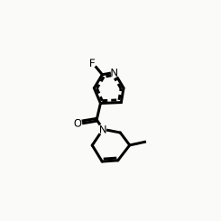 CC1C=CCN(C(=O)c2ccnc(F)c2)C1